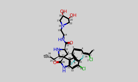 C\C(Cl)=C/C=C\C(=C\F)[C@H]1[C@H](C(=O)NCCN2C[C@@H](O)[C@@H](O)C2)N[C@H](CC(C)(C)C)[C@]12C(=O)Nc1cc(Cl)c(F)cc12